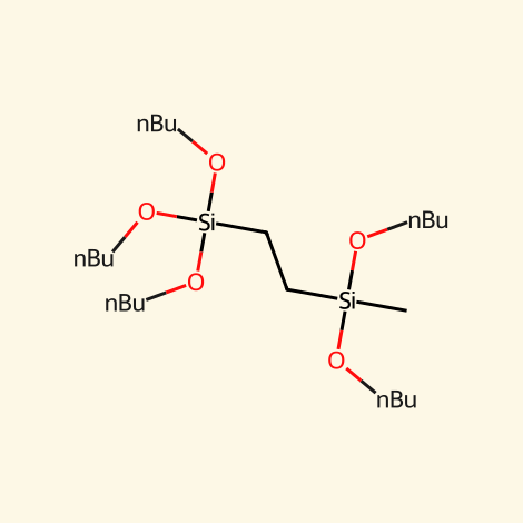 CCCCO[Si](C)(CC[Si](OCCCC)(OCCCC)OCCCC)OCCCC